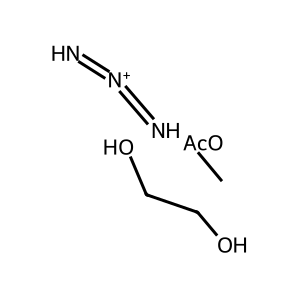 COC(C)=O.N=[N+]=N.OCCO